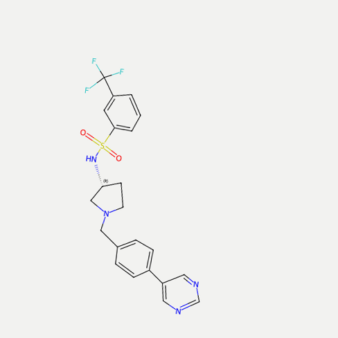 O=S(=O)(N[C@@H]1CCN(Cc2ccc(-c3cncnc3)cc2)C1)c1cccc(C(F)(F)F)c1